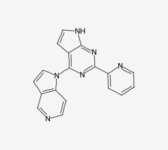 c1ccc(-c2nc(-n3ccc4cnccc43)c3cc[nH]c3n2)nc1